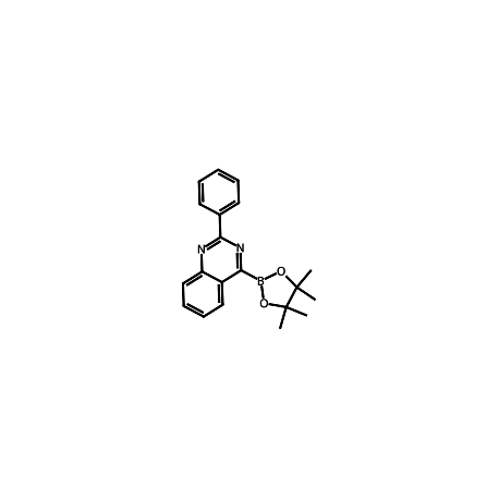 CC1(C)OB(c2nc(-c3ccccc3)nc3ccccc23)OC1(C)C